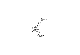 CCCCCCCCCCCCCCCCC[n+]1ccn(CCC)c1CCCCCCCCCCCCCC